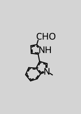 Cn1cc(-c2ccc(C=O)[nH]2)c2ccccc21